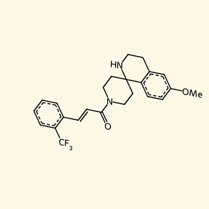 COc1ccc2c(c1)CCNC21CCN(C(=O)/C=C/c2ccccc2C(F)(F)F)CC1